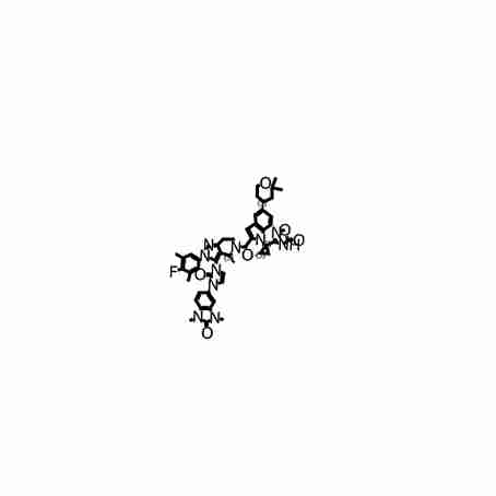 Cc1cc(-n2nc3c(c2-n2ccn(-c4ccc5c(c4)n(C)c(=O)n5C)c2=O)[C@H](C)N(C(=O)c2cc4cc([C@H]5CCOC(C)(C)C5)ccc4n2[C@@]2(c4noc(=O)[nH]4)C[C@@H]2C)CC3)cc(C)c1F